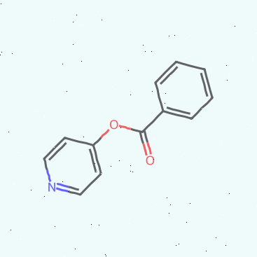 O=C(Oc1ccncc1)c1ccccc1